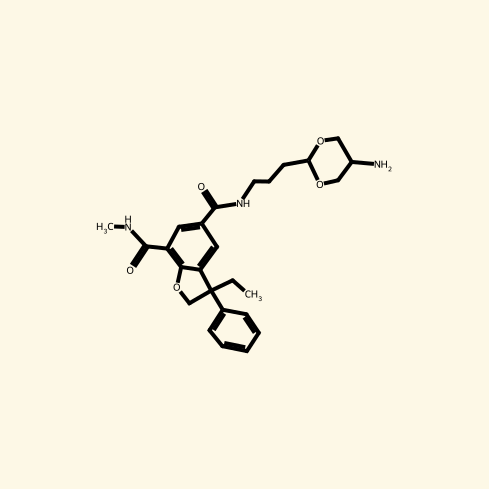 CCC1(c2ccccc2)COc2c(C(=O)NC)cc(C(=O)NCCCC3OCC(N)CO3)cc21